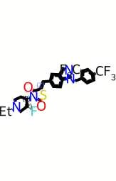 CCN1CC[C@@H](N2C(=O)S/C(=C\c3ccc4c(cnn4Cc4ccc(C(F)(F)F)cc4C(F)(F)F)c3)C2=O)[C@H](F)C1